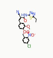 CCc1nnc(NC(=O)C(C#N)=Cc2ccc(OCc3ccc(Cl)cc3[N+](=O)[O-])c(OC)c2)s1